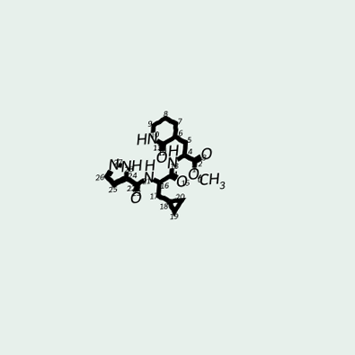 COC(=O)C(CC1CCCNC1=O)NC(=O)C(CC1CC1)NC(=O)c1ccn[nH]1